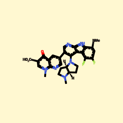 CNc1cc(F)c(F)c2c1[nH]c1ncc(-c3cnc4c(c3)c(=O)c(C(=O)O)cn4C)c(N3CC[C@@H]4[C@H]3CCN4C)c12